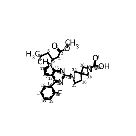 COC(=O)CC(CC(C)C)n1ccc2c(-c3ccccc3F)nc(N3CCC4(CN(C(=O)O)C4)C3)nc21